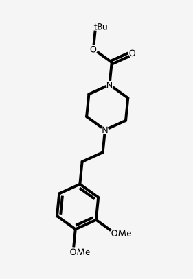 COc1ccc(CCN2CCN(C(=O)OC(C)(C)C)CC2)cc1OC